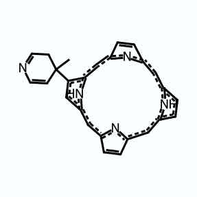 CC1(c2cc3cc4nc(cc5ccc(cc6nc(cc2[nH]3)C=C6)[nH]5)C=C4)C=CN=CC1